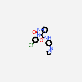 NC(=O)N(c1ccc(Cl)cc1)C(C(=O)NC1C=CC(=NN2CCC2)C=C1)c1ccccc1